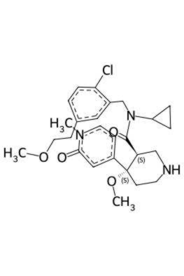 COCCc1ccc(Cl)c(CN(C(=O)[C@H]2CNCC[C@@]2(OC)c2ccn(C)c(=O)c2)C2CC2)c1